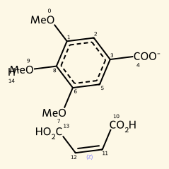 COc1cc(C(=O)[O-])cc(OC)c1OC.O=C(O)/C=C\C(=O)O.[H+]